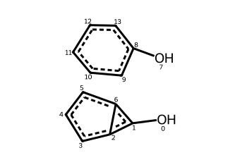 Oc1c2cccc1-2.Oc1ccccc1